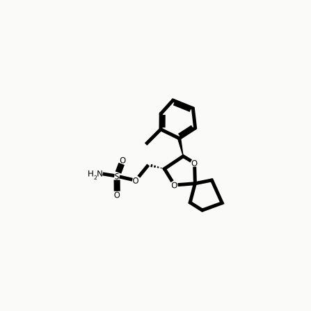 Cc1ccccc1[C@H]1OC2(CCCC2)O[C@@H]1COS(N)(=O)=O